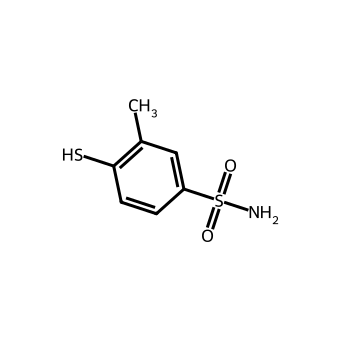 Cc1cc(S(N)(=O)=O)ccc1S